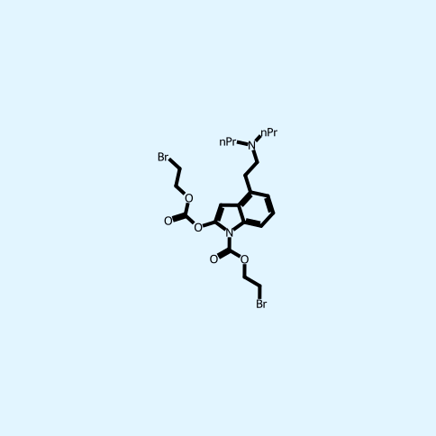 CCCN(CCC)CCc1cccc2c1cc(OC(=O)OCCBr)n2C(=O)OCCBr